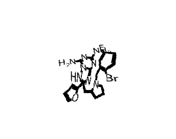 NC1=NC2=NC(CC3CCCN3Cc3cc(F)ccc3Br)(c3ccco3)NN2C(N)=N1